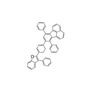 C1=C(c2cc(-c3ccccc3)c3c(c2-c2ccccc2)-c2cccc4cccc-3c24)CCC(c2oc3ccccc3c2-c2ccccc2)=C1